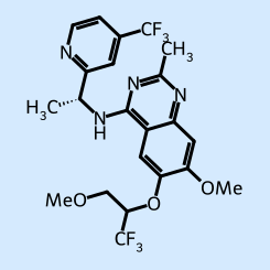 COCC(Oc1cc2c(N[C@H](C)c3cc(C(F)(F)F)ccn3)nc(C)nc2cc1OC)C(F)(F)F